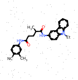 CCn1c2ccccc2c2cc(NC(=O)C(C)CCC(=O)Nc3ccc(C#N)c(C)c3)ccc21